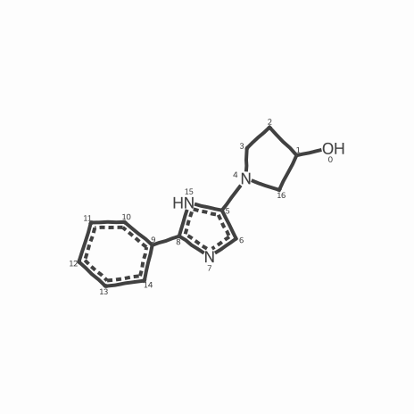 OC1CCN(c2cnc(-c3ccccc3)[nH]2)C1